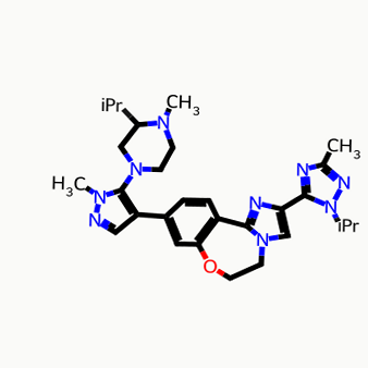 Cc1nc(-c2cn3c(n2)-c2ccc(-c4cnn(C)c4N4CCN(C)C(C(C)C)C4)cc2OCC3)n(C(C)C)n1